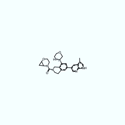 Cc1c[nH]c2ncc(-c3cc4c(c([C@@H]5COCCN5)c3)CN(C(=O)N3CCOC5CC53)CC4)cc12